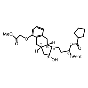 CCCCC[C@@H](CC[C@@H]1[C@H]2Cc3cccc(OCC(=O)OC)c3C[C@H]2C[C@H]1O)OC(=O)C1CCCC1